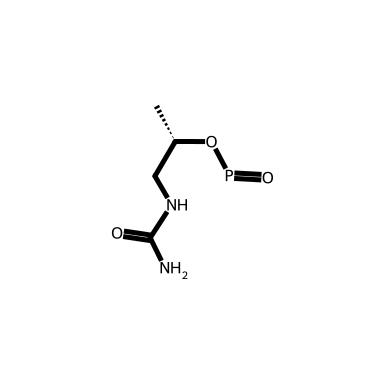 C[C@@H](CNC(N)=O)OP=O